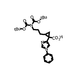 CC(C)(C)OC(=O)N(CCCC1CC1(C(=O)O)c1cn(-c2ccccc2)cn1)C(=O)OC(C)(C)C